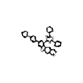 c1ccc(-c2ccc(-c3cc(-c4nc(-c5ccccc5)nc(-c5ccccc5)n4)c4c(c3)oc3cc5cnccc5cc34)cc2)cc1